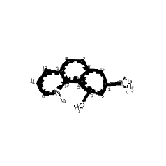 Cc1cc(O)c2c(ccc3cccnc32)c1